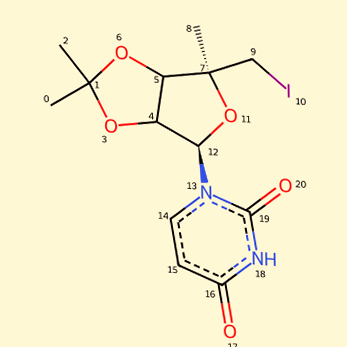 CC1(C)OC2C(O1)[C@@](C)(CI)O[C@H]2n1ccc(=O)[nH]c1=O